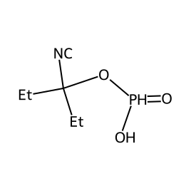 [C-]#[N+]C(CC)(CC)O[PH](=O)O